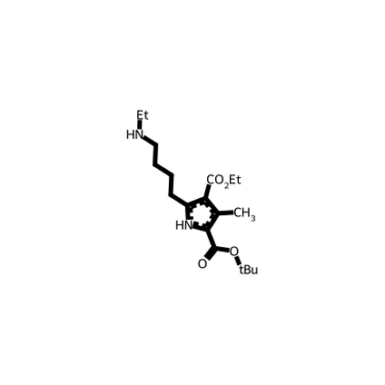 CCNCCCCc1[nH]c(C(=O)OC(C)(C)C)c(C)c1C(=O)OCC